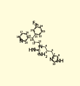 N=C(N)N(CCCc1c[nH]cn1)CCC(c1cccnc1)c1cccc(F)c1